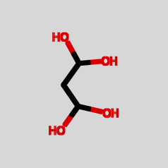 OC(O)CC(O)O